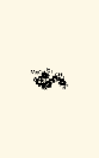 COc1cc(C)ccc1CN1C(=O)CCN(c2cnn3ccc(C[C@@H]4CCN(CC5CCC(F)(F)CC5)[C@@H](C)C4)cc23)C1=O